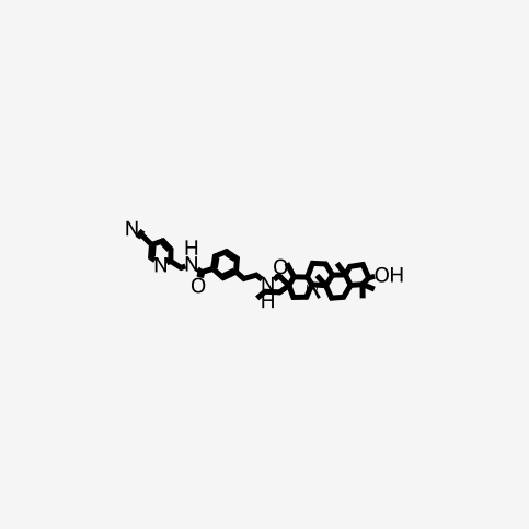 CCCC1(C(=O)NCCc2cccc(C(=O)NCc3ccc(C#N)cn3)c2)CC[C@]2(C)C(CCC3C4(C)CCC(O)C(C)(C)C4CCC32C)C1C